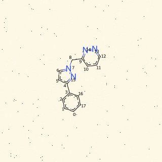 c1ccc(-c2ccn(Cc3cccnn3)n2)cc1